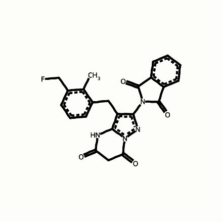 Cc1c(CF)cccc1Cc1c(N2C(=O)c3ccccc3C2=O)nn2c1NC(=O)CC2=O